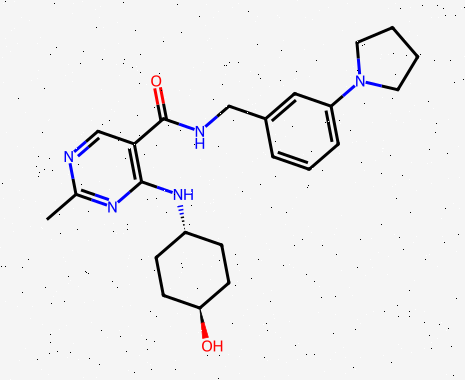 Cc1ncc(C(=O)NCc2cccc(N3CCCC3)c2)c(N[C@H]2CC[C@H](O)CC2)n1